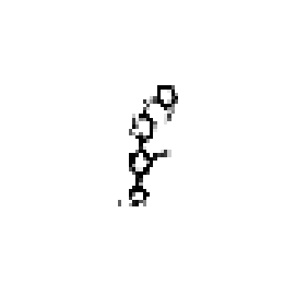 Oc1cc(-c2cn[nH]c2)ccc1-c1ccc(O[C@@H]2CCC[C@@H]2F)nn1